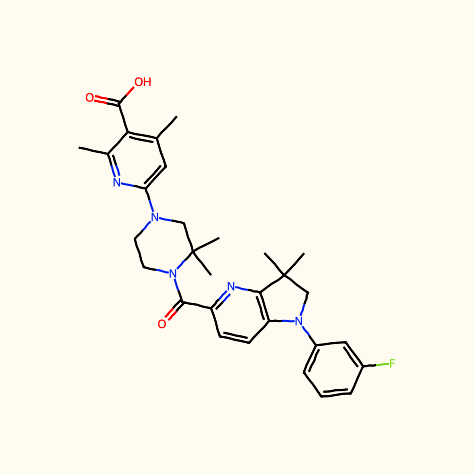 Cc1cc(N2CCN(C(=O)c3ccc4c(n3)C(C)(C)CN4c3cccc(F)c3)C(C)(C)C2)nc(C)c1C(=O)O